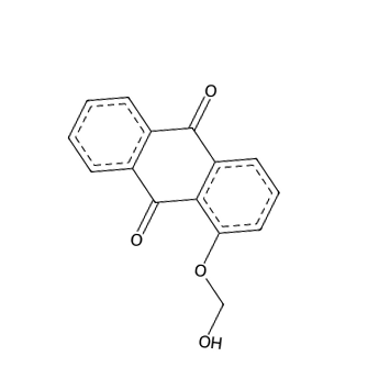 O=C1c2ccccc2C(=O)c2c(OCO)cccc21